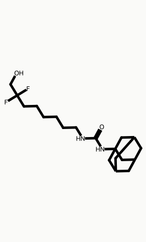 O=C(NCCCCCCC(F)(F)CO)NC12CC3CC(CC(C3)C1)C2